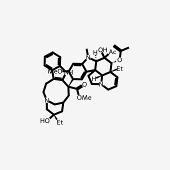 C=C(C)O[C@H]1C(O)(C(C)=O)[C@@H]2N(C)C3=CC(OC)C([C@@]4(C(=O)OC)CC5CN(CCc6c4[nH]c4ccccc64)C[C@](O)(CC)C5)C=C3C23CCN2CC=C[C@]1(CC)[C@H]23